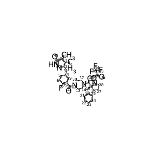 Cc1c(Cc2ccc(F)c(C(=O)N3CCN(C(=O)C4(Cc5ccccc5)CCCN4OC(=O)C(F)(F)F)CC3)c2)n[nH]c(=O)c1C